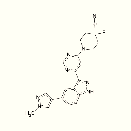 Cn1cc(-c2ccc3[nH]nc(-c4cc(N5CCC(F)(C#N)CC5)ncn4)c3c2)cn1